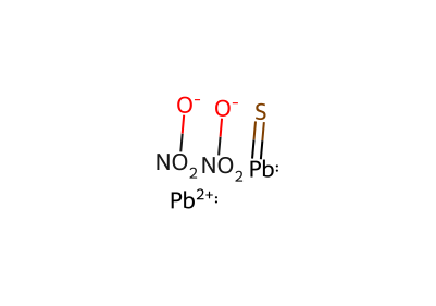 O=[N+]([O-])[O-].O=[N+]([O-])[O-].[Pb+2].[S]=[Pb]